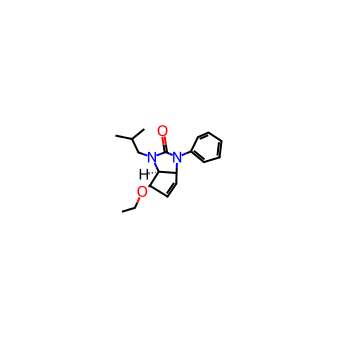 CCO[C@H]1C=CC2[C@@H]1N(CC(C)C)C(=O)N2c1ccccc1